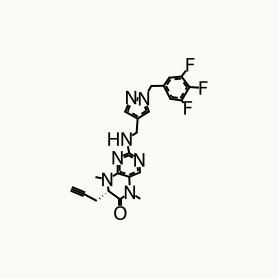 C#CC[C@H]1C(=O)N(C)c2cnc(NCc3cnn(Cc4cc(F)c(F)c(F)c4)c3)nc2N1C